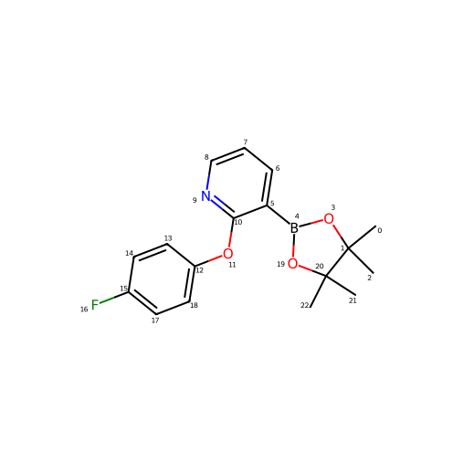 CC1(C)OB(c2cccnc2Oc2ccc(F)cc2)OC1(C)C